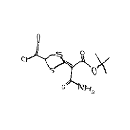 CC(C)(C)OC(=O)C(C(N)=O)=C1SC(C(=O)Cl)S1